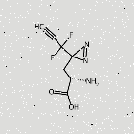 C#CC(F)(F)C1(C[C@H](N)C(=O)O)N=N1